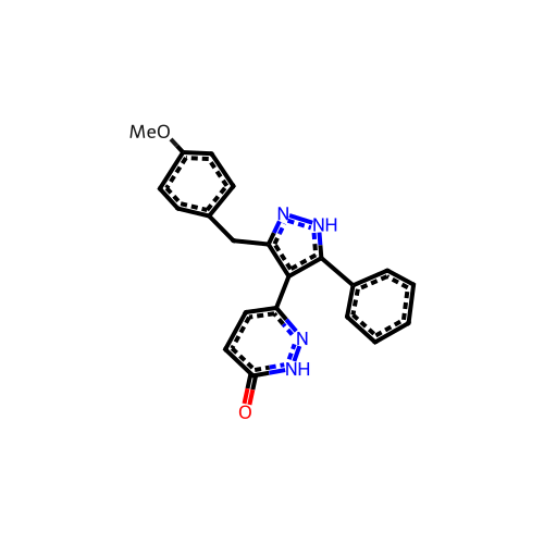 COc1ccc(Cc2n[nH]c(-c3ccccc3)c2-c2ccc(=O)[nH]n2)cc1